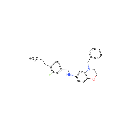 O=C(O)CCc1ccc(CNc2ccc3c(c2)N(Cc2ccccc2)CCO3)cc1F